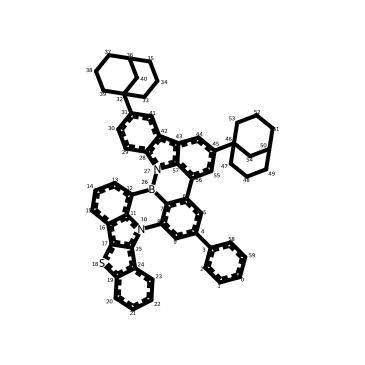 c1ccc(-c2cc3c4c(c2)-n2c5c(cccc5c5sc6ccccc6c52)B4n2c4ccc(C56CCCC(CCC5)C6)cc4c4cc(C56CCCC(CCC5)C6)cc-3c42)cc1